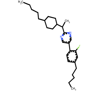 CCCCCc1ccc(-c2cnc(C(C)C3CCC(CCCCC)CC3)nc2)c(F)c1